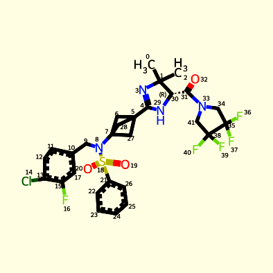 CC1(C)N=C(C23CC(N(Cc4ccc(Cl)c(F)c4)S(=O)(=O)c4ccccc4)(C2)C3)N[C@H]1C(=O)N1CC(F)(F)C(F)(F)C1